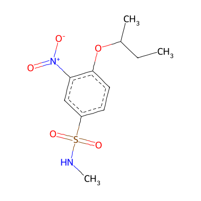 CCC(C)Oc1ccc(S(=O)(=O)NC)cc1[N+](=O)[O-]